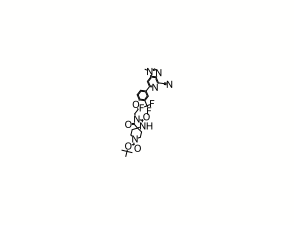 Cn1cnc2c(C#N)nc(-c3ccc(OCCN4C(=O)NC5(CCN(C(=O)OC(C)(C)C)CC5)C4=O)c(C(F)(F)F)c3)cc21